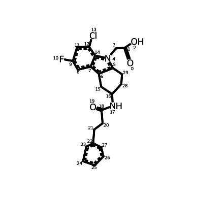 O=C(O)Cn1c2c(c3cc(F)cc(Cl)c31)CC(NC(=O)CCc1ccccc1)CC2